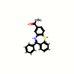 CCCCC(=O)c1ccc2c(c1)N=C(c1ccccc1)c1ccccc1S2